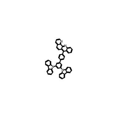 c1cnc2c(c1)ccc1c(-c3ccc(-c4cc(-n5c6ccccc6c6ccccc65)cc(-n5c6ccccc6c6ccccc65)c4)cc3)c3ccccc3nc12